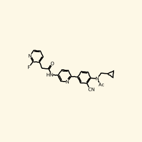 CC(=O)N(CC1CC1)c1ccc(-c2ccc(NC(=O)Cc3cccnc3F)cn2)cc1C#N